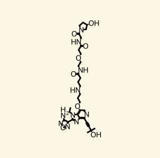 CCn1c(-c2nonc2N)nc2c(C#CC(C)(C)O)ncc(OCCCNCCCC(=O)NCCOCCC(=O)NCC(=O)N3CC[C@@H](O)C3)c21